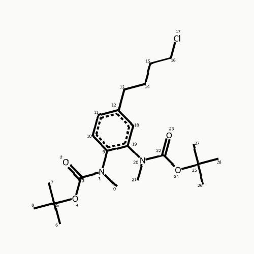 CN(C(=O)OC(C)(C)C)c1ccc(CCCCCl)cc1N(C)C(=O)OC(C)(C)C